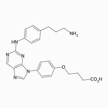 NCCCc1ccc(Nc2ncc3ncn(-c4ccc(OCCCC(=O)O)cc4)c3n2)cc1